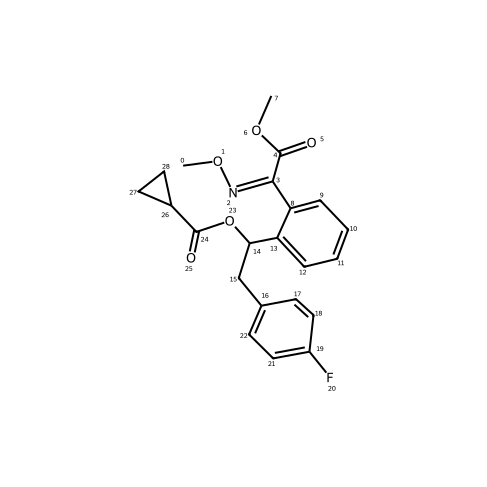 CON=C(C(=O)OC)c1ccccc1C(Cc1ccc(F)cc1)OC(=O)C1CC1